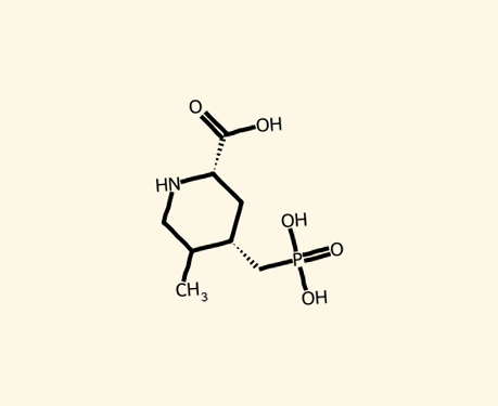 CC1CN[C@H](C(=O)O)C[C@@H]1CP(=O)(O)O